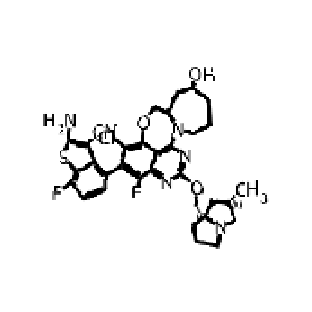 C[C@H]1CN2CCC[C@@]2(COc2nc3c4c(c(Cl)c(-c5ccc(F)c6sc(N)c(C#N)c56)c(F)c4n2)OCC2CC(O)CCCN32)C1